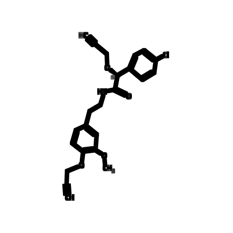 C#CCOc1ccc(CCNC(=O)[C@@H](OCC#C)c2ccc(Cl)cc2)cc1OC